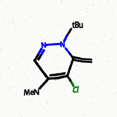 C=C1C(Cl)=C(NC)C=NN1C(C)(C)C